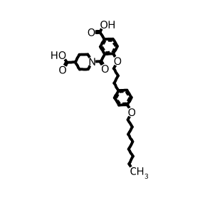 CCCCCCCCOc1ccc(CCCOc2ccc(C(=O)O)cc2C(=O)N2CCC(C(=O)O)CC2)cc1